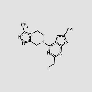 CCCc1cc2c(N3CCn4c(nnc4C(F)(F)F)C3)nc(CI)nc2s1